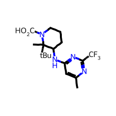 Cc1cc(NC2CCCN(C(=O)O)C2(C)C(C)(C)C)nc(C(F)(F)F)n1